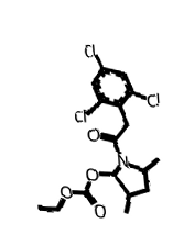 CCOC(=O)OC1C(C)CC(C)N1C(=O)Cc1c(Cl)cc(Cl)cc1Cl